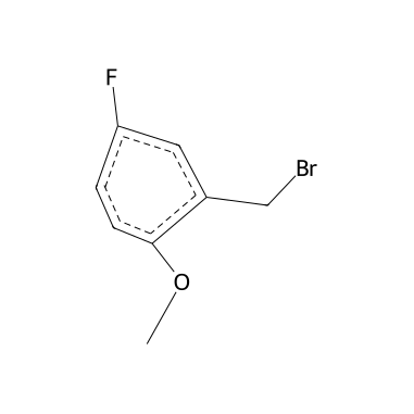 COc1ccc(F)cc1CBr